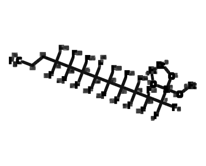 CCO[Si](OCC)(OCC)C(F)(F)C(F)(F)C(F)(F)C(F)(F)C(F)(F)C(F)(F)C(F)(F)C(F)(F)C(F)(F)CCC(F)(F)F